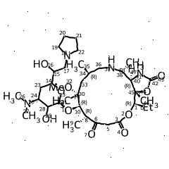 CC[C@H]1OC(=O)CC(=O)[C@H](C)[C@@H](O[C@@H]2OC(C(O)CN3CCCC3)CC(N(C)C)C2O)[C@](C)(OC)C[C@@H](C)CN[C@H](C)[C@H]2NC(=O)O[C@@]21C